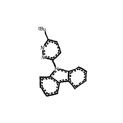 CC(C)(C)c1ccc(-n2c3ccccc3c3ccccc32)nn1